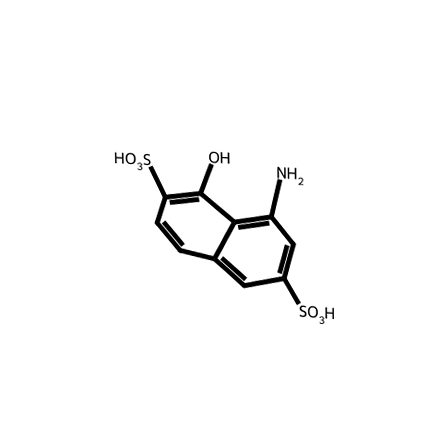 Nc1cc(S(=O)(=O)O)cc2ccc(S(=O)(=O)O)c(O)c12